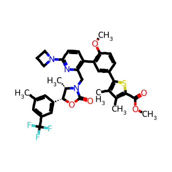 COC(=O)c1sc(-c2ccc(OC)c(-c3ccc(N4CCC4)nc3CN3C(=O)O[C@H](c4cc(C)cc(C(F)(F)F)c4)[C@@H]3C)c2)c(C)c1C